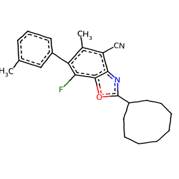 Cc1cccc(-c2c(C)c(C#N)c3nc(C4CCCCCCCC4)oc3c2F)c1